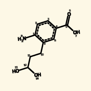 Nc1ccc(C(=O)O)cc1CCC(O)O